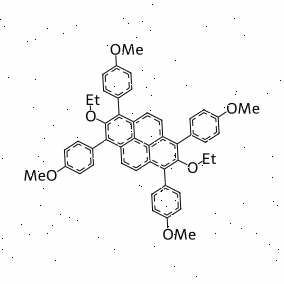 CCOc1c(-c2ccc(OC)cc2)c2ccc3c(-c4ccc(OC)cc4)c(OCC)c(-c4ccc(OC)cc4)c4ccc(c1-c1ccc(OC)cc1)c2c34